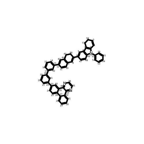 C1=Cc2c(c3cc(C4=Cc5ccc(-c6cccc(-c7cccc(-c8ccc9c%10ccccc%10c%10nccnc%10c9c8)c7)c6)cc5CC4)ccc3n2-c2ccccc2)CC1